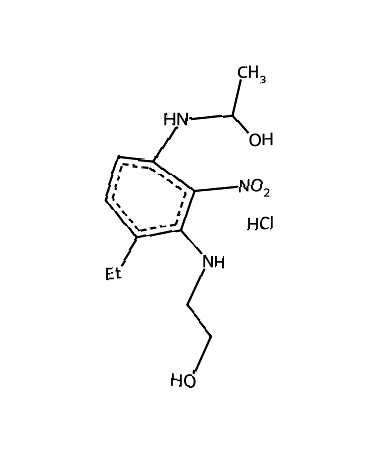 CCc1ccc(NC(C)O)c([N+](=O)[O-])c1NCCO.Cl